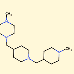 CN1CCC(CN2CCC(CN3CCN(C)CC3)CC2)CC1